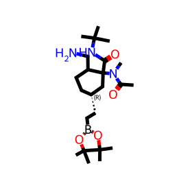 CC(=O)N(C)C1(C(=O)NC(C)(C)C)C[C@H](CCB2OC(C)(C)C(C)(C)O2)CCC1CN